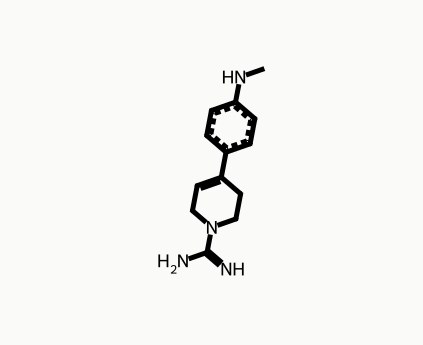 CNc1ccc(C2=CCN(C(=N)N)CC2)cc1